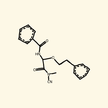 CN(C#N)C(=O)C(NC(=O)c1ccccc1)OCCc1ccccc1